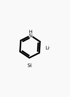 [Li].[Si].c1cc[siH]cc1